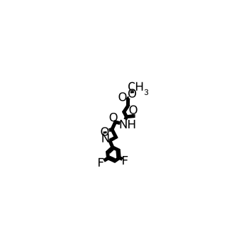 COC(=O)C1CC(NC(=O)C2CC(c3cc(F)cc(F)c3)=NO2)CO1